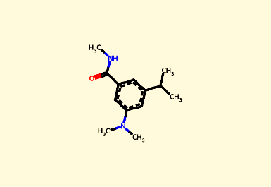 CNC(=O)c1cc(C(C)C)cc(N(C)C)c1